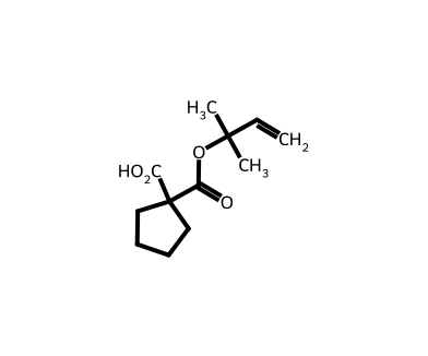 C=CC(C)(C)OC(=O)C1(C(=O)O)CCCC1